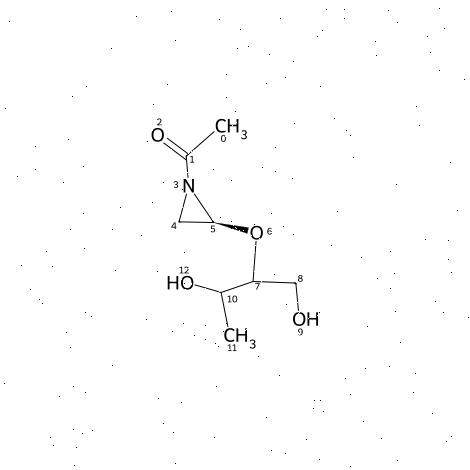 CC(=O)N1C[C@@H]1OC(CO)C(C)O